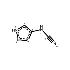 N#CNc1c[nH]nn1